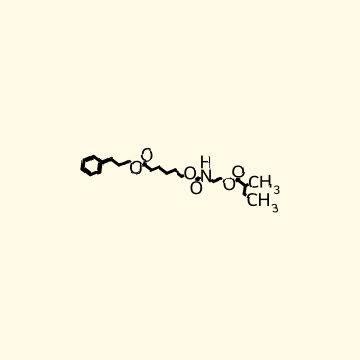 CCC(C)C(=O)OCCNC(=O)OCCCCCC(=O)OCCCc1ccccc1